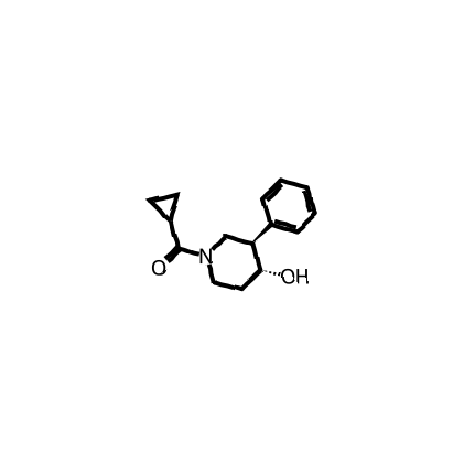 O=C(C1CC1)N1CC[C@@H](O)[C@H](c2ccccc2)C1